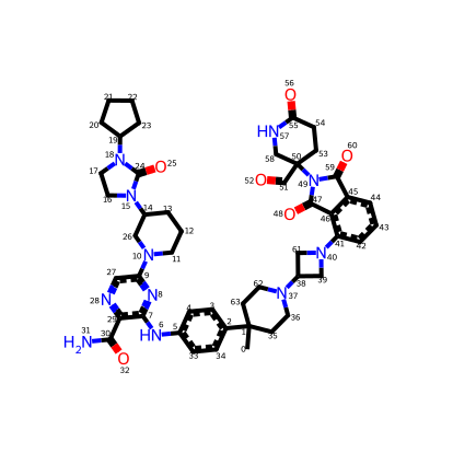 CC1(c2ccc(Nc3nc(N4CCCC(N5CCN(C6CCCC6)C5=O)C4)cnc3C(N)=O)cc2)CCN(C2CN(c3cccc4c3C(=O)N(C3(C=O)CCC(=O)NC3)C4=O)C2)CC1